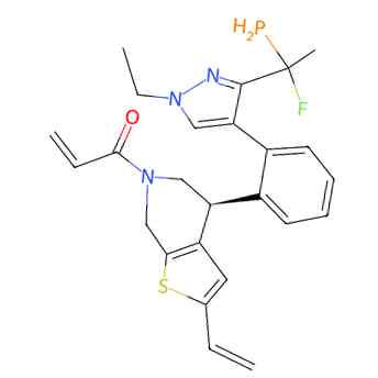 C=CC(=O)N1Cc2sc(C=C)cc2[C@H](c2ccccc2-c2cn(CC)nc2C(C)(F)P)C1